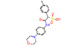 Cc1ccc(C(C(=O)Nc2ccc(N3CCOCC3)cc2)S(=O)(=O)O)cc1